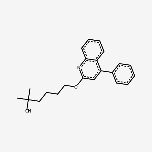 CC(C)(C#N)CCCCOc1cc(-c2ccccc2)c2ccccc2n1